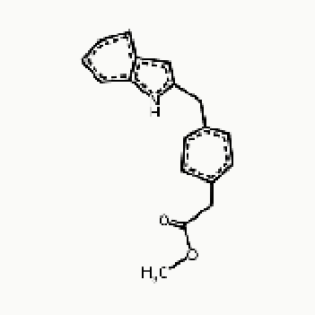 COC(=O)Cc1ccc(Cc2cc3ccccc3[nH]2)cc1